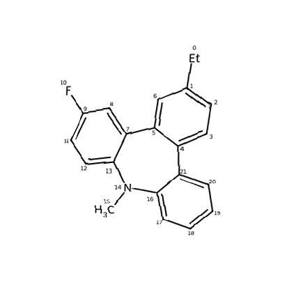 CCc1ccc2c(c1)-c1cc(F)ccc1N(C)c1ccccc1-2